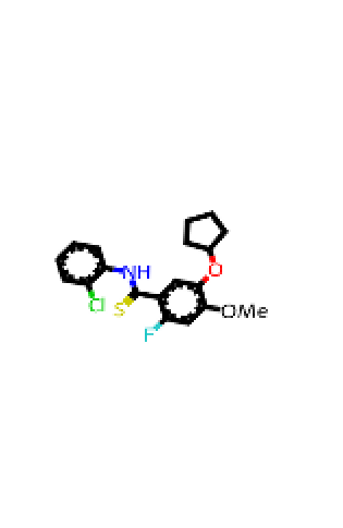 COc1cc(F)c(C(=S)Nc2ccccc2Cl)cc1OC1CCCC1